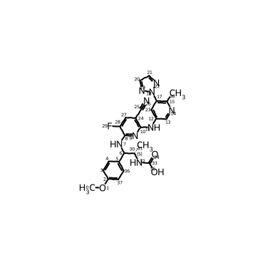 COc1ccc(C(Nc2nc(Nc3cnc(C)c(-n4nccn4)c3)c(C#N)cc2F)[C@H](C)NC(=O)O)cc1